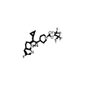 O=C(OC(C(F)(F)F)C(F)(F)F)N1CCC(c2nn3c(c2C2CC2)CCc2cc(F)cnc2-3)CC1